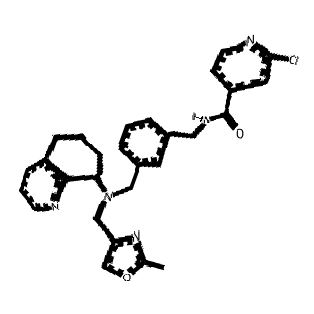 Cc1nc(CN(Cc2cccc(CNC(=O)c3ccnc(Cl)c3)c2)C2CCCc3cccnc32)co1